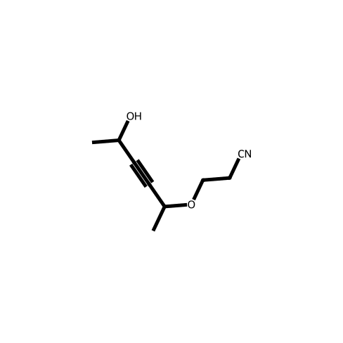 CC(O)C#CC(C)OCCC#N